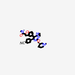 CN1CCC[C@@H](COc2nc(-c3ccc(C#N)cc3)c(-c3ccc4c(c3)CC(C(=O)N(C)C)O4)c3nccn23)C1